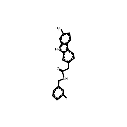 Cc1ccc2c(c1)[nH]c1cc(CC(=O)NCc3cccc(F)c3)ccc12